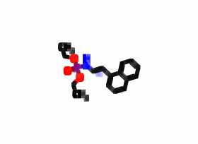 CCOP(=O)(N/C=C/c1cccc2ccccc12)OCC